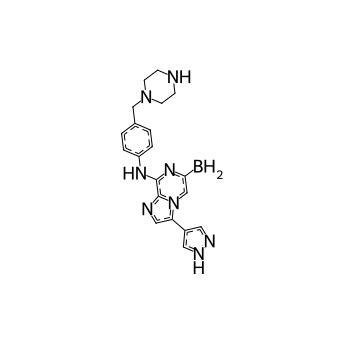 Bc1cn2c(-c3cn[nH]c3)cnc2c(Nc2ccc(CN3CCNCC3)cc2)n1